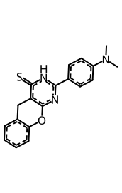 CN(C)c1ccc(-c2nc3c(c(=S)[nH]2)Cc2ccccc2O3)cc1